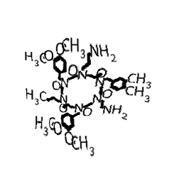 CCCCN1CC(=O)N(Cc2ccc(OC)c(OC)c2)CC(=O)N(CCCN)CC(=O)N(Cc2ccc(C)c(C)c2)CC(=O)N(CCN)CC(=O)N(Cc2ccc(OC)c(OC)c2)CC1=O